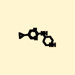 c1nc(NC2CCNCC2)ncc1C1CC1